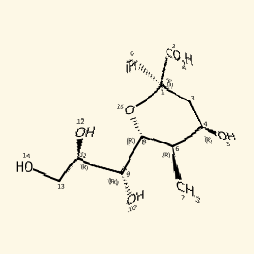 CC(C)[C@]1(C(=O)O)C[C@@H](O)[C@@H](C)[C@H]([C@H](O)[C@H](O)CO)O1